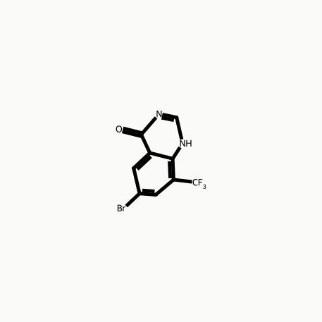 O=c1nc[nH]c2c(C(F)(F)F)cc(Br)cc12